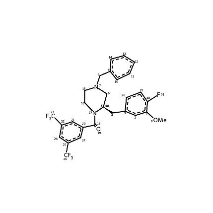 COc1cc(C[C@@H]2CN(Cc3ccccc3)CCN2C(=O)c2cc(C(F)(F)F)cc(C(F)(F)F)c2)ccc1F